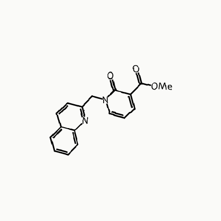 COC(=O)c1cccn(Cc2ccc3ccccc3n2)c1=O